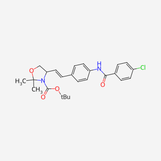 CC(C)(C)OC(=O)N1C(C=Cc2ccc(NC(=O)c3ccc(Cl)cc3)cc2)COC1(C)C